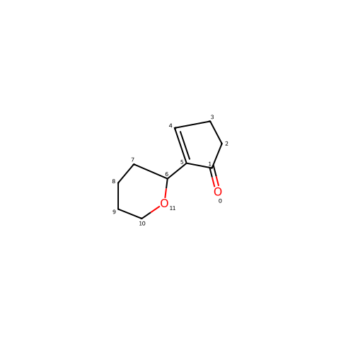 O=C1CCC=C1C1CCCCO1